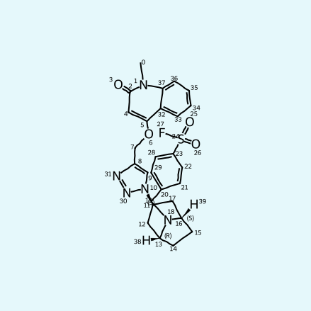 Cn1c(=O)cc(OCc2cn([C@@H]3C[C@H]4CC[C@@H](C3)N4Cc3ccc(S(=O)(=O)F)cc3)nn2)c2ccccc21